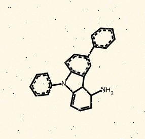 NC1C=CC=C2C1c1cc(-c3ccccc3)ccc1N2c1ccccc1